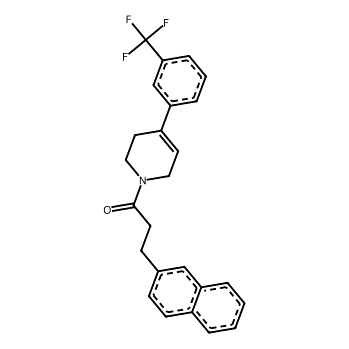 O=C(CCc1ccc2ccccc2c1)N1CC=C(c2cccc(C(F)(F)F)c2)CC1